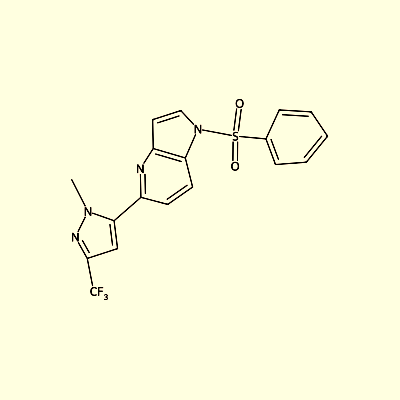 Cn1nc(C(F)(F)F)cc1-c1ccc2c(ccn2S(=O)(=O)c2ccccc2)n1